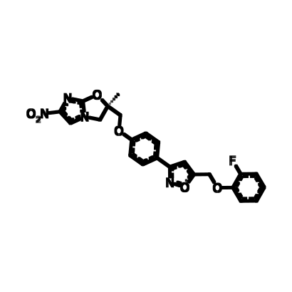 C[C@]1(COc2ccc(-c3cc(COc4ccccc4F)on3)cc2)Cn2cc([N+](=O)[O-])nc2O1